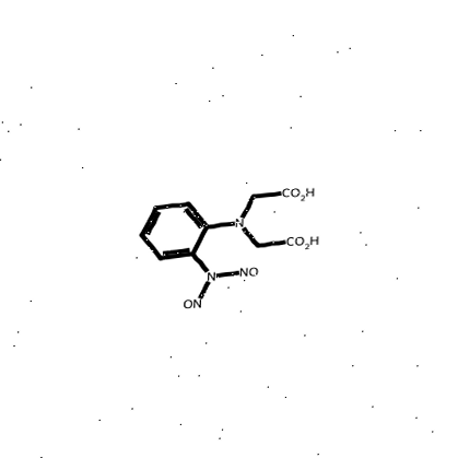 O=NN(N=O)c1ccccc1N(CC(=O)O)CC(=O)O